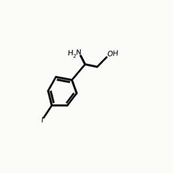 NC(CO)c1ccc(I)cc1